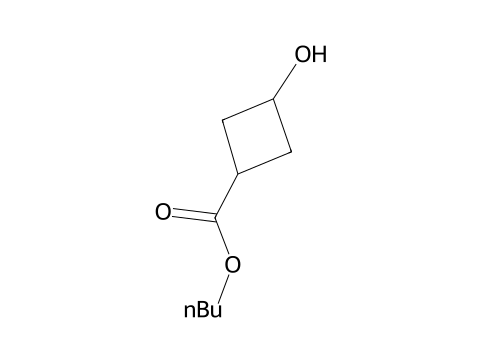 CCCCOC(=O)C1CC(O)C1